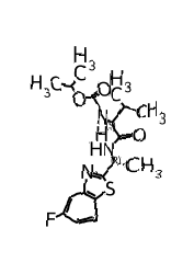 CC(C)OC(=O)N[C@H](C(=O)N[C@H](C)c1nc2cc(F)ccc2s1)C(C)C